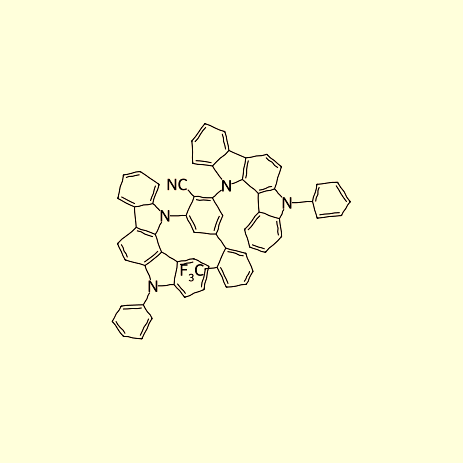 N#Cc1c(-n2c3ccccc3c3ccc4c(c5ccccc5n4-c4ccccc4)c32)cc(-c2ccccc2C(F)(F)F)cc1-n1c2ccccc2c2ccc3c(c4ccccc4n3-c3ccccc3)c21